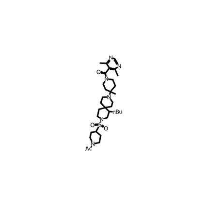 CCCCC1CN(S(=O)(=O)C2CCN(C(C)=O)CC2)CCC12CCN(C1(C)CCN(C(=O)c3c(C)ncnc3C)CC1)CC2